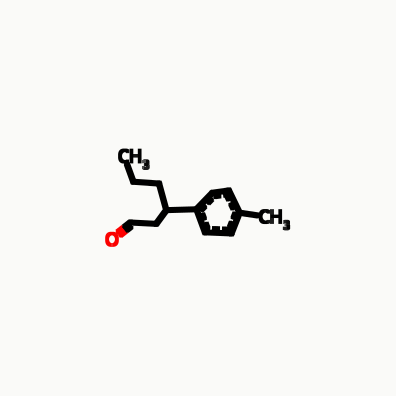 CCCC(CC=O)c1ccc(C)cc1